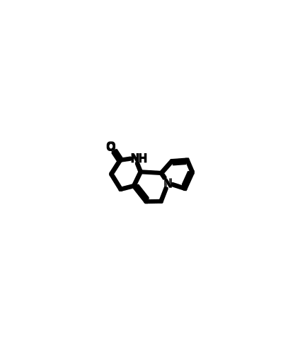 O=C1CCC2=CCN3C=CC=CC3C2N1